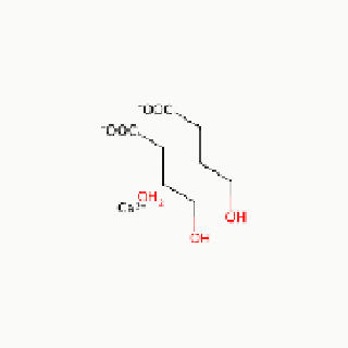 O.O=C([O-])CCCO.O=C([O-])CCCO.[Ca+2]